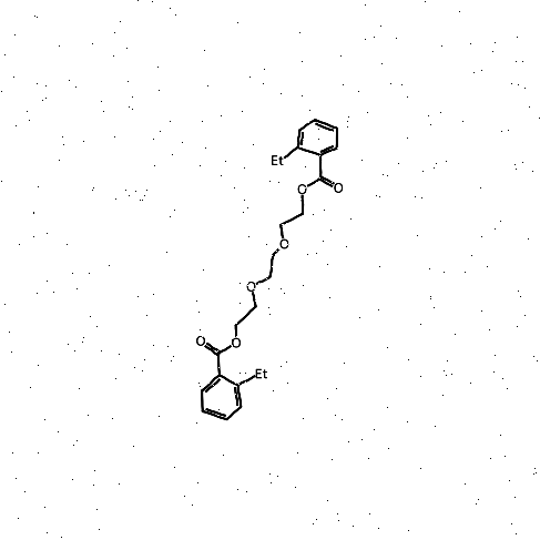 CCc1ccccc1C(=O)OCCOCCOCCOC(=O)c1ccccc1CC